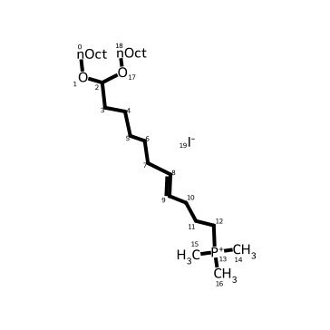 CCCCCCCCOC(CCCCC/C=C/CCC[P+](C)(C)C)OCCCCCCCC.[I-]